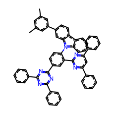 Cc1cc(C)cc(-c2ccc3c4ccccc4n(-c4ccc(-c5nc(-c6ccccc6)nc(-c6ccccc6)n5)cc4-c4nc(-c5ccccc5)cc(-c5ccccc5)n4)c3c2)c1